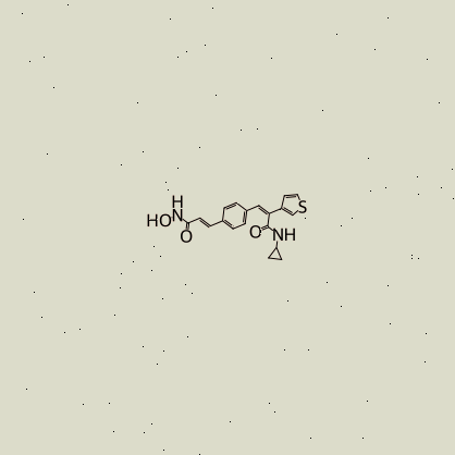 O=C(C=Cc1ccc(C=C(C(=O)NC2CC2)c2ccsc2)cc1)NO